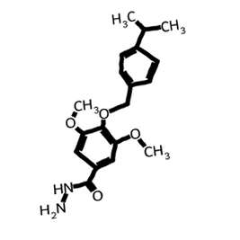 COc1cc(C(=O)NN)cc(OC)c1OCc1ccc(C(C)C)cc1